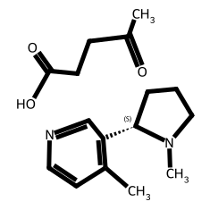 CC(=O)CCC(=O)O.Cc1ccncc1[C@@H]1CCCN1C